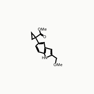 COCc1cc2cc(C3(C(=O)OC)CC3)ccc2[nH]1